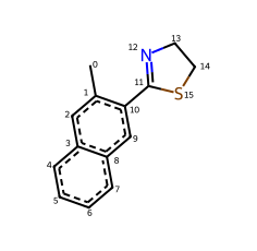 Cc1cc2ccccc2cc1C1=NCCS1